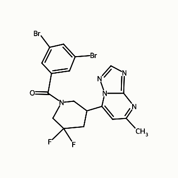 Cc1cc(C2CN(C(=O)c3cc(Br)cc(Br)c3)CC(F)(F)C2)n2ncnc2n1